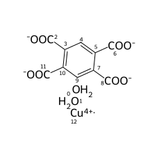 O.O.O=C([O-])c1cc(C(=O)[O-])c(C(=O)[O-])cc1C(=O)[O-].[Cu+4]